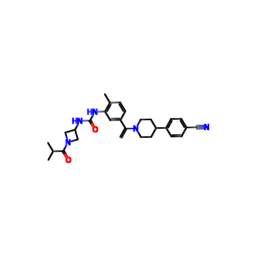 C=C(c1ccc(C)c(NC(=O)NC2CN(C(=O)C(C)C)C2)c1)N1CCC(c2ccc(C#N)cc2)CC1